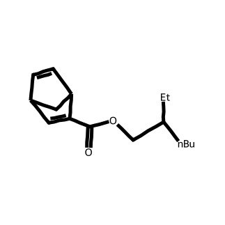 CCCCC(CC)COC(=O)C1=CC2C=CC1C2